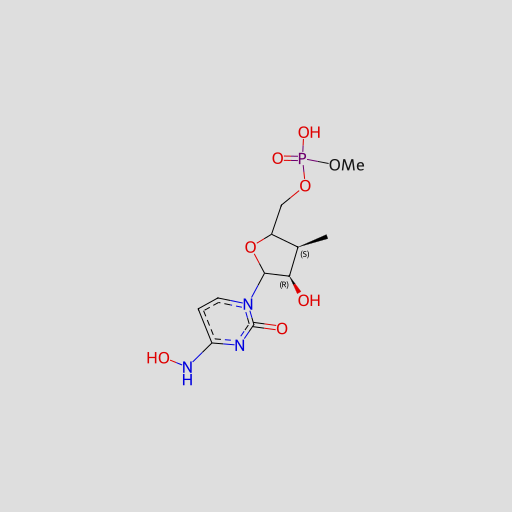 COP(=O)(O)OCC1OC(n2ccc(NO)nc2=O)[C@H](O)[C@@H]1C